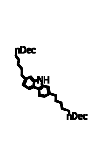 CCCCCCCCCCCCCCCc1ccc2c(c1)[nH]c1cc(CCCCCCCCCCCCCCC)ccc12